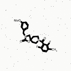 COc1cccc(CN2CC3(CCN(C(=O)c4c(F)ccc(C)c4F)CC3)OC2=O)c1